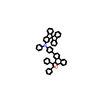 c1ccc(-c2oc3c4ccccc4c4ccc(-c5ccc(N(c6ccccc6)c6ccc7c(c6)C6(c8ccccc8-c8ccccc86)c6ccccc6-7)cc5)cc4c3c2-c2ccccc2)cc1